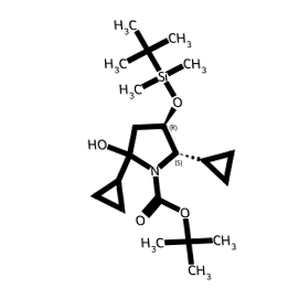 CC(C)(C)OC(=O)N1[C@@H](C2CC2)[C@H](O[Si](C)(C)C(C)(C)C)CC1(O)C1CC1